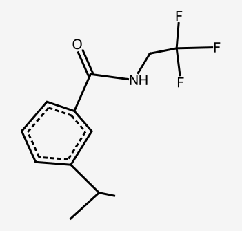 CC(C)c1cccc(C(=O)NCC(F)(F)F)c1